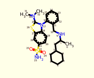 CC(CC1CCCCC1)NCc1ccccc1N1c2ccc(S(N)(=O)=O)cc2SC1N(C)C